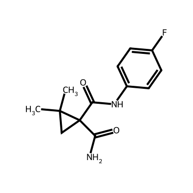 CC1(C)CC1(C(N)=O)C(=O)Nc1ccc(F)cc1